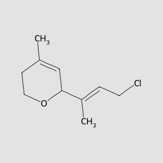 CC1=CC(C(C)=CCCl)OCC1